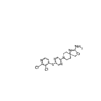 NC1=NC2(CCN(c3cnc(Sc4ccnc(Cl)c4Cl)cn3)CC2)CO1